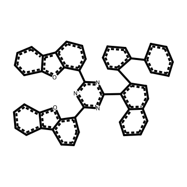 c1ccc(-c2ccccc2-c2ccc3ccccc3c2-c2nc(-c3cccc4c3oc3ccccc34)nc(-c3cccc4c3oc3ccccc34)n2)cc1